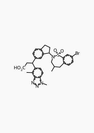 Cc1c(C(CC(=O)O)c2ccc3c(c2)C(N2CC(C)Cc4ccc(Br)cc4S2(=O)=O)CC3)ccc2c1nnn2C